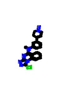 CN(c1cccc(C2=CCNCC2)c1)c1nc2nnc(Cl)n2c2ccccc12